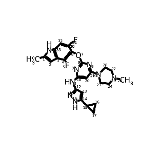 Cc1cc2c(F)c(Oc3nc(Nc4cc(C5CC5)[nH]n4)cc(N4CCN(C)CC4)n3)c(F)cc2[nH]1